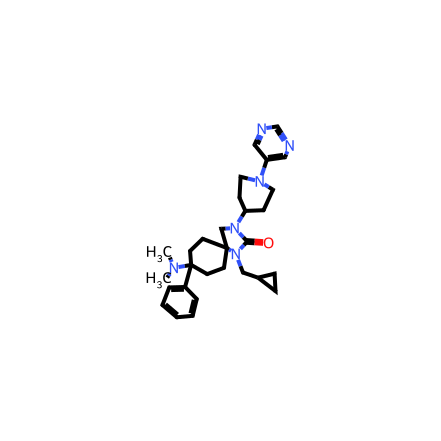 CN(C)C1(c2ccccc2)CCC2(CC1)CN(C1CCN(c3cncnc3)CC1)C(=O)N2CC1CC1